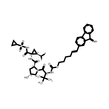 CC(C)(C)[C@H](NC(=O)OCCCC/C=C/c1ccc2c(c1)C(=N)c1ccccc1-2)C(=O)N1C[C@H](O)C[C@H]1C(=O)N[C@]1(C(=O)NS(=O)(=O)C2CC2)C[C@H]1C(F)F